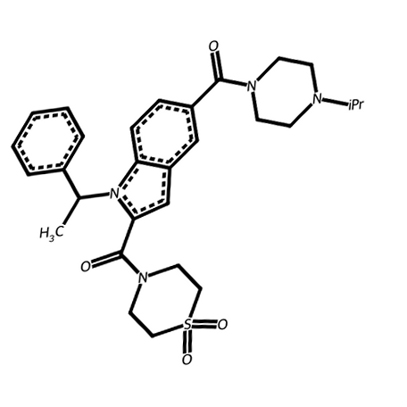 CC(C)N1CCN(C(=O)c2ccc3c(c2)cc(C(=O)N2CCS(=O)(=O)CC2)n3C(C)c2ccccc2)CC1